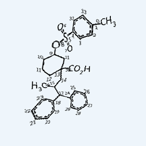 Cc1ccc(S(=O)(=O)OC2CCCC(C[C@H](C)C(c3ccccc3)c3ccccc3)(C(=O)O)C2)cc1